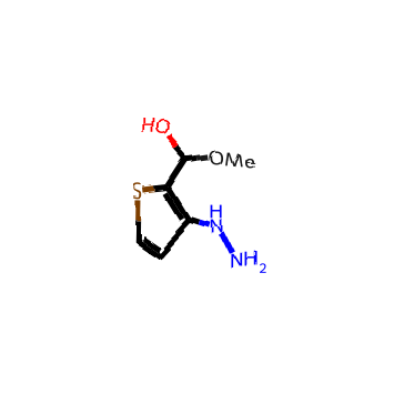 COC(O)c1sccc1NN